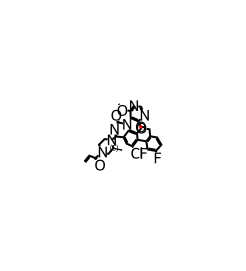 C=CC(=O)N1CCN(c2nc(=O)n(-c3c(OC)ncnc3OC)c3c4c(c(Cl)cc23)-c2c(ccc(F)c2F)CO4)[C@@H](C)C1